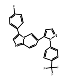 Fc1ccc(-c2cnc3ccc(-c4ccnn4-c4ccc(C(F)(F)F)cc4)cn23)cc1